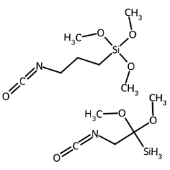 COC([SiH3])(CN=C=O)OC.CO[Si](CCCN=C=O)(OC)OC